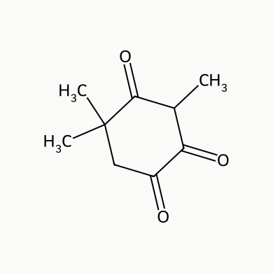 CC1C(=O)C(=O)CC(C)(C)C1=O